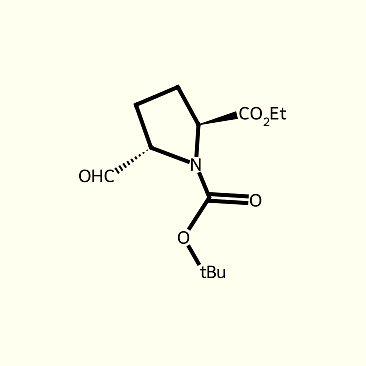 CCOC(=O)[C@@H]1CC[C@@H](C=O)N1C(=O)OC(C)(C)C